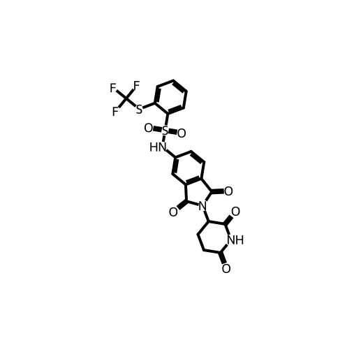 O=C1CCC(N2C(=O)c3ccc(NS(=O)(=O)c4ccccc4SC(F)(F)F)cc3C2=O)C(=O)N1